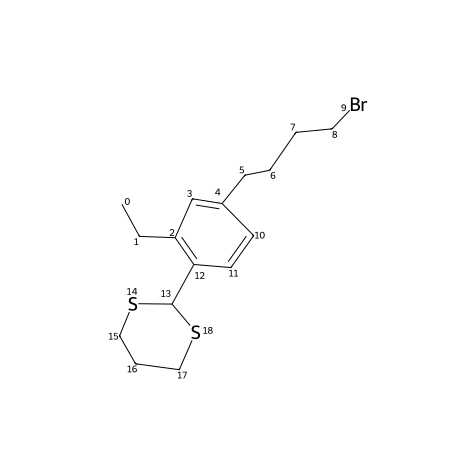 CCc1cc(CCCCBr)ccc1C1SCCCS1